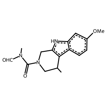 COc1ccc2c3c([nH]c2c1)CN(C(=O)N(C)C=O)CC3C